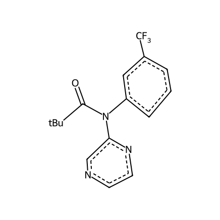 CC(C)(C)C(=O)N(c1cccc(C(F)(F)F)c1)c1cnccn1